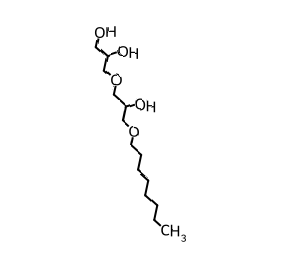 CCCCCCCCOCC(O)COCC(O)CO